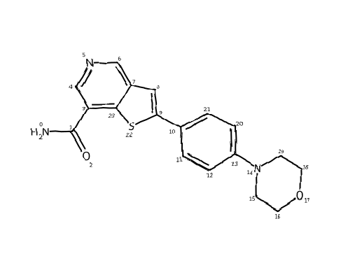 NC(=O)c1cncc2cc(-c3ccc(N4CCOCC4)cc3)sc12